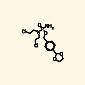 NP(=O)(OCc1ccc(C2OCCO2)cc1)N(CCCl)CCCl